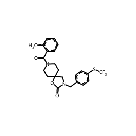 Cc1ccccc1C(=O)N1CCC2(CC1)CN(Cc1ccc(SC(F)(F)F)cc1)C(=O)O2